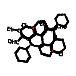 CCOC(C=O)Oc1c(Cl)ccc(P(C2CCCCC2)C2CCCCC2)c1-c1c(P(C2CCCCC2)C2CCCCC2)ccc(Cl)c1OC(C=O)OCC